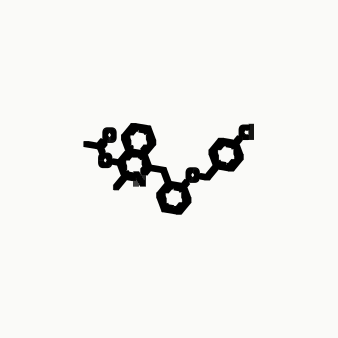 CC(=O)Oc1c(C)nc(Cc2ccccc2OCc2ccc(Cl)cc2)c2ccccc12